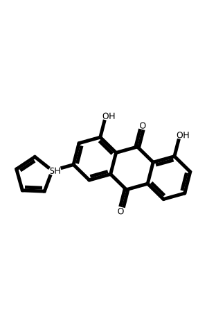 O=C1c2cccc(O)c2C(=O)c2c(O)cc([SH]3C=CC=C3)cc21